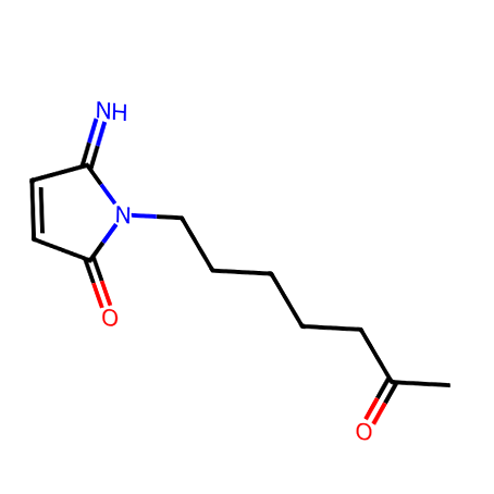 CC(=O)CCCCCN1C(=N)C=CC1=O